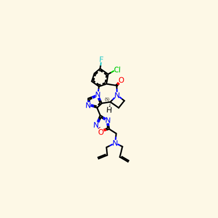 C=CCN(CC=C)Cc1nc(-c2ncn3c2[C@@H]2CCN2C(=O)c2c-3ccc(F)c2Cl)no1